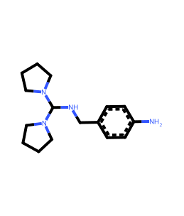 Nc1ccc(CNC(N2CCCC2)N2CCCC2)cc1